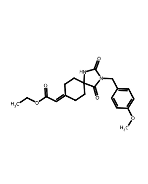 CCOC(=O)C=C1CCC2(CC1)NC(=O)N(Cc1ccc(OC)cc1)C2=O